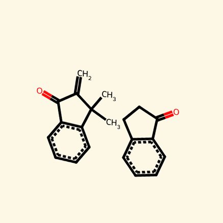 C=C1C(=O)c2ccccc2C1(C)C.O=C1CCc2ccccc21